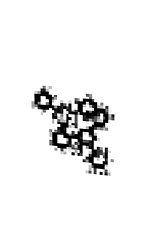 c1ccc(-c2nc(-c3ccccc3)nc(-c3cccc4oc5c(-c6ccccn6)cc(-c6ccccn6)cc5c34)n2)cc1